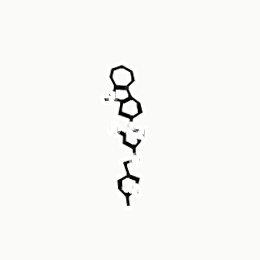 Cc1ccc(COc2cnn(-c3ccc4c5c(n(C)c4c3)CCCCC5)c(=O)c2)cn1